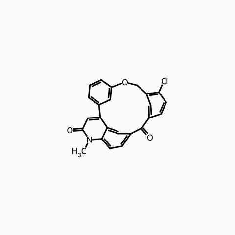 Cn1c(=O)cc2c3cc(ccc31)C(=O)c1ccc(Cl)c(c1)COc1cccc-2c1